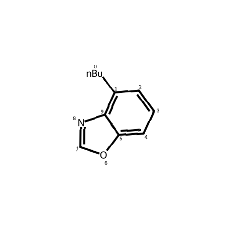 CCCCc1cccc2o[c]nc12